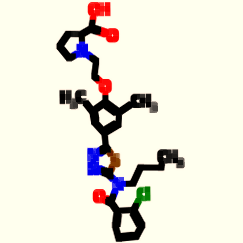 CCCCN(C(=O)c1ccccc1Cl)c1nnc(-c2cc(C)c(OCCN3CCCC3C(=O)O)c(C)c2)s1